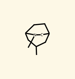 CC1CC2CCC(C1)N(C)C2